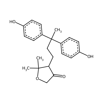 CC(CCC1C(=O)COC1(C)C)(c1ccc(O)cc1)c1ccc(O)cc1